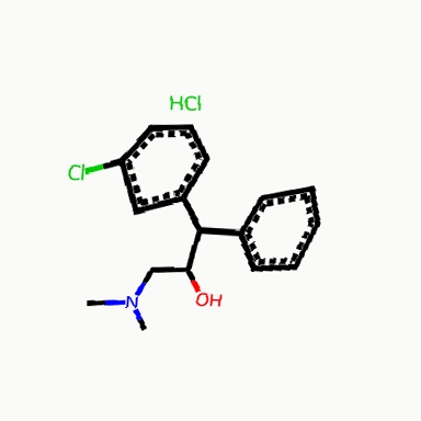 CN(C)CC(O)C(c1ccccc1)c1cccc(Cl)c1.Cl